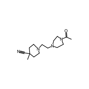 CC(=O)N1CCN(CCN2CCC(C)(C#N)CC2)CC1